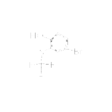 Oc1ccc(Br)cc1SC(F)(F)F